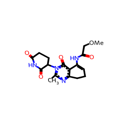 COCC(=O)NC1=CCCc2nc(C)n(C3CCC(=O)NC3=O)c(=O)c21